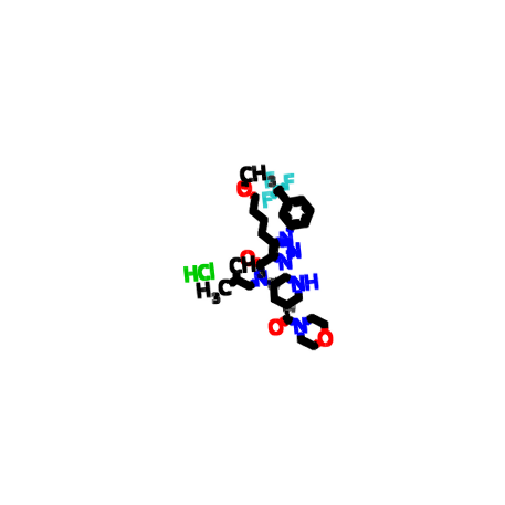 COCCCCc1c(C(=O)N(CC(C)C)[C@@H]2CNC[C@H](C(=O)N3CCOCC3)C2)nnn1-c1cccc(C(F)(F)F)c1.Cl